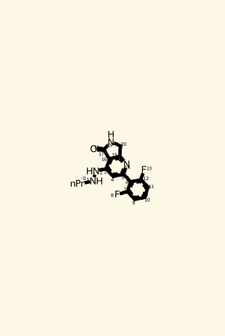 CCCNNc1cc(-c2c(F)cccc2F)nc2c1C(=O)NC2